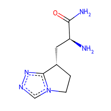 NC(=O)[C@@H](N)C[C@@H]1CCn2cnnc21